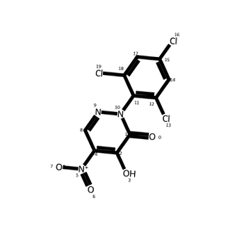 O=c1c(O)c([N+](=O)[O-])cnn1-c1c(Cl)cc(Cl)cc1Cl